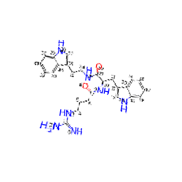 N=C(N)NCCCC(=O)NC(Cc1c[nH]c2ccccc12)C(=O)NCCc1c[nH]c2ccccc12